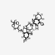 CC1(C)OCC(CN2CC3(CCN(c4nc5c(c(=O)[nH]4)CCCC5)CC3)c3c(F)cc(F)cc32)CO1